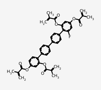 C=C(C)C(=O)Oc1ccc(-c2ccc(-c3ccc(-c4c(F)cc(OC(=O)C(=C)C)cc4OC(=O)C(=C)C)cc3)cc2)c(OC(=O)C(=C)C)c1